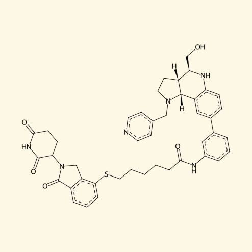 O=C1CCC(N2Cc3c(SCCCCCC(=O)Nc4cccc(-c5ccc6c(c5)[C@H]5[C@H](CCN5Cc5ccncc5)[C@@H](CO)N6)c4)cccc3C2=O)C(=O)N1